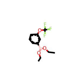 CCOB(OCC)c1cccc(OC(F)(F)F)c1